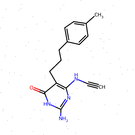 C#CNc1nc(N)[nH]c(=O)c1CCCc1ccc(C)cc1